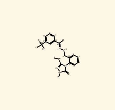 COc1nn(C)c(=O)n1-c1ccccc1CO/N=C(\C)c1cccc(C(F)(F)F)c1